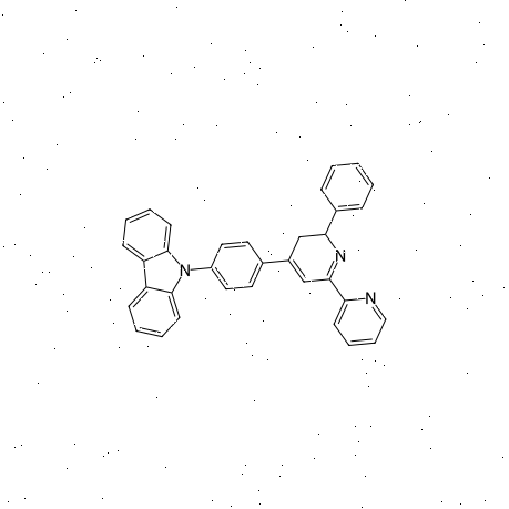 C1=C(c2ccc(-n3c4ccccc4c4ccccc43)cc2)CC(c2ccccc2)N=C1c1ccccn1